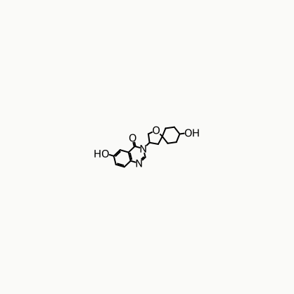 O=c1c2cc(O)ccc2ncn1C1COC2(CCC(O)CC2)C1